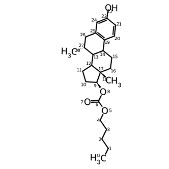 CCCCCOC(=O)O[C@H]1CCC2C3C(CC[C@@]21C)c1ccc(O)cc1C[C@H]3C